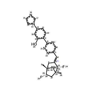 C[C@]12C/C(=C\c3cnc(-c4ccc(-n5ccnc5)cc4O)nn3)[C@H](F)[C@](C)(C[C@@H]1F)N2